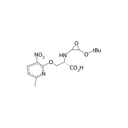 Cc1ccc([N+](=O)[O-])c(OC[C@H](NC2OC2OC(C)(C)C)C(=O)O)n1